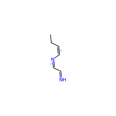 CC/C=C\N=C/C=N